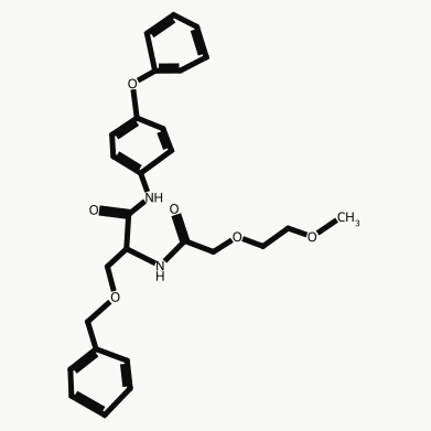 COCCOCC(=O)NC(COCc1ccccc1)C(=O)Nc1ccc(Oc2ccccc2)cc1